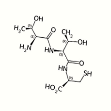 C[C@@H](O)[C@H](N)C(=O)N[C@H](C(=O)N[C@@H](CS)C(=O)O)[C@@H](C)O